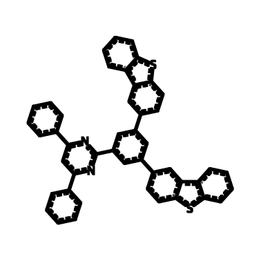 c1ccc(-c2cc(-c3ccccc3)nc(-c3cc(-c4ccc5sc6ccccc6c5c4)cc(-c4ccc5sc6ccccc6c5c4)c3)n2)cc1